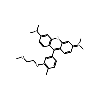 COCCOc1cc(-c2c3ccc(=[N+](C)C)cc-3oc3cc(N(C)C)ccc23)ccc1C